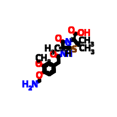 COc1cc(CC(=O)N[C@@]2(C)C(=O)N3[C@@H](C(=O)O)C(C)(C)S[C@@H]32)ccc1OCN